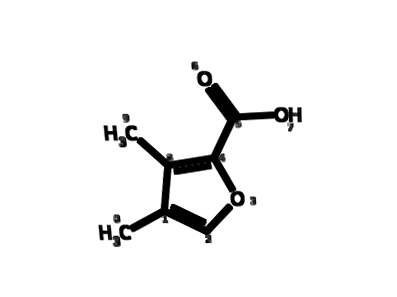 Cc1coc(C(=O)O)c1C